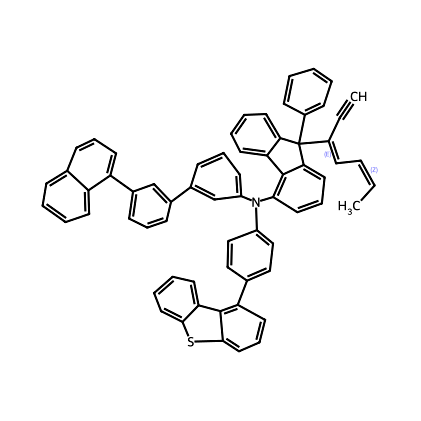 C#C/C(=C\C=C/C)C1(c2ccccc2)c2ccccc2-c2c(N(c3ccc(-c4cccc5sc6ccccc6c45)cc3)c3cccc(-c4cccc(-c5cccc6ccccc56)c4)c3)cccc21